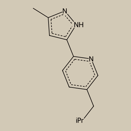 Cc1cc(-c2ccc(CC(C)C)cn2)[nH]n1